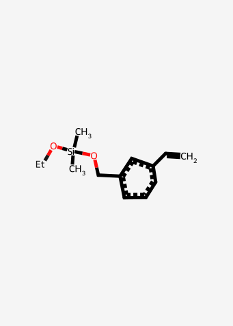 C=Cc1cccc(CO[Si](C)(C)OCC)c1